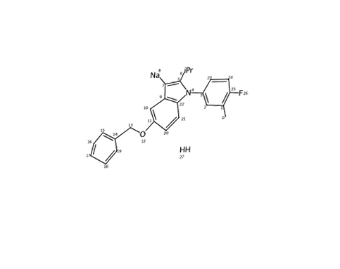 Cc1cc(-n2c(C(C)C)[c]([Na])c3cc(OCc4ccccc4)ccc32)ccc1F.[HH]